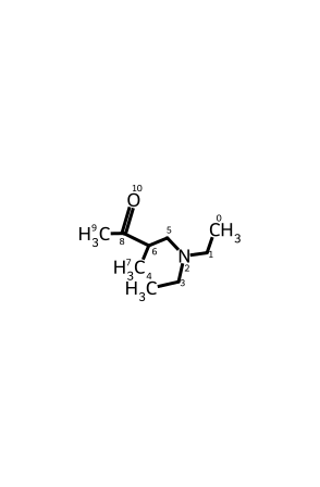 CCN(CC)CC(C)C(C)=O